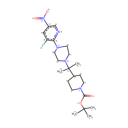 CC(C)(C)OC(=O)N1CCC(C(C)(C)N2CCN(c3ncc([N+](=O)[O-])cc3F)CC2)CC1